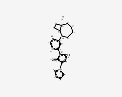 O=c1c(-n2ccnn2)c[nH]n1-c1cc(N2CCCC[C@@H]3CCC32)ncn1